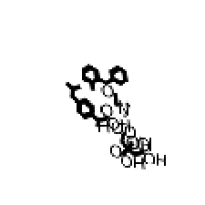 CC(C)Cc1ccc(C(C)C(=O)O)cc1.Cc1ccccc1C(OCCN(C)C)c1ccccc1.O=C(O)CC(O)(CC(=O)O)C(=O)O